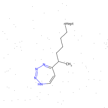 [CH2]CCCCCCCCCCC(C)C1=NN=NNC=C1